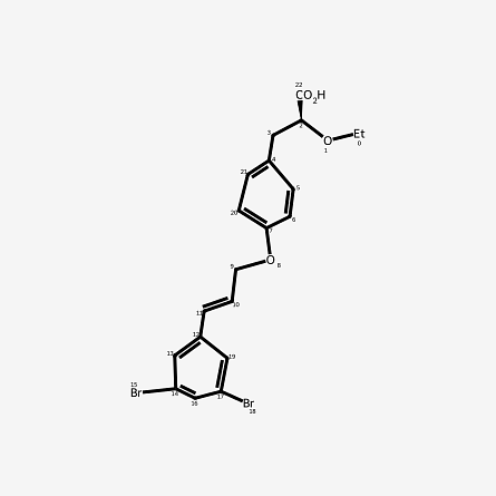 CCO[C@@H](Cc1ccc(OC/C=C/c2cc(Br)cc(Br)c2)cc1)C(=O)O